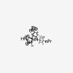 CCC[C@H]1CC[C@@H](Nc2ccc(S(=O)(=O)CC)cc2-c2cc(C)[n+]([O-])c3[nH]ccc23)CC1